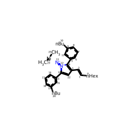 CCCCCCC=CC1=C(c2cccc(CCCC)c2)[N+](=[N-])C(c2cccc(CCCC)c2)=C1.[CH3][Ni][CH3]